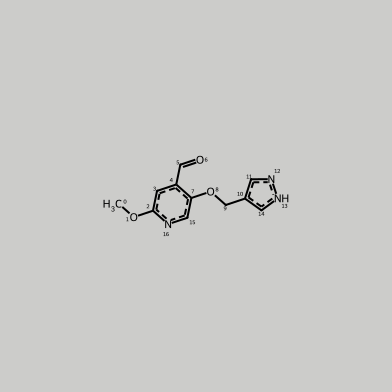 COc1cc(C=O)c(OCc2cn[nH]c2)cn1